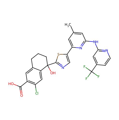 Cc1cc(Nc2cc(C(F)(F)F)ccn2)nc(-c2cnc(C3(O)CCCc4cc(C(=O)O)c(Cl)cc43)s2)c1